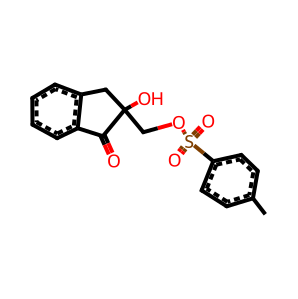 Cc1ccc(S(=O)(=O)OCC2(O)Cc3ccccc3C2=O)cc1